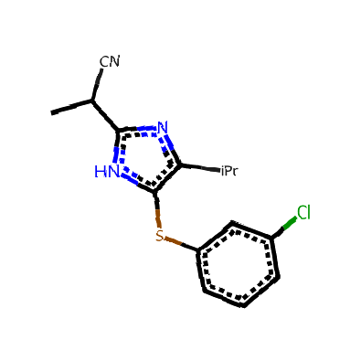 CC(C)c1nc(C(C)C#N)[nH]c1Sc1cccc(Cl)c1